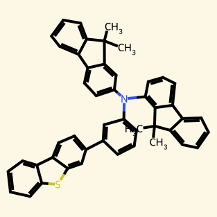 CC1(C)c2ccccc2-c2ccc(N(c3cccc(-c4ccc5c(c4)sc4ccccc45)c3)c3cccc4c3C(C)(C)c3ccccc3-4)cc21